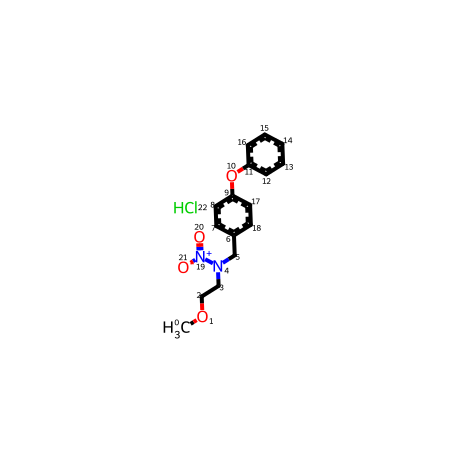 COCCN(Cc1ccc(Oc2ccccc2)cc1)[N+](=O)[O-].Cl